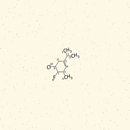 CC(C)C1=CC(C)C(F)C(Cl)C1